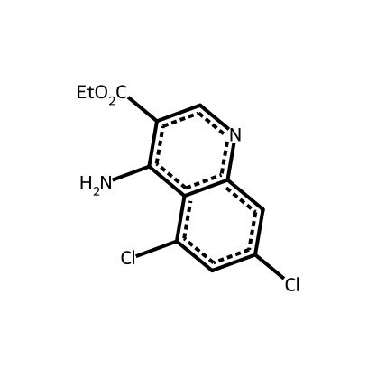 CCOC(=O)c1cnc2cc(Cl)cc(Cl)c2c1N